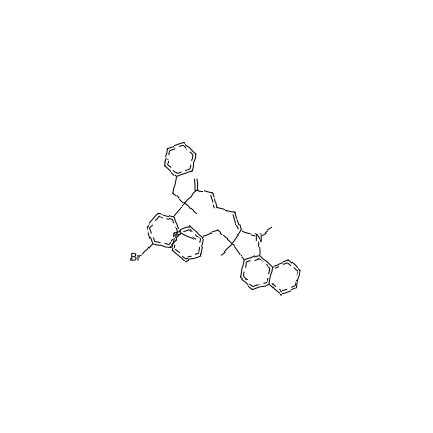 C=C(/C=C/C=C1/N(C)c2c(ccc3ccccc23)C1(C)Cc1ccccc1)C(C)(Cc1ccccc1)c1ccc(Br)cc1C